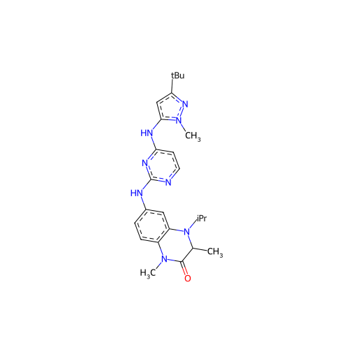 CC(C)N1c2cc(Nc3nccc(Nc4cc(C(C)(C)C)nn4C)n3)ccc2N(C)C(=O)C1C